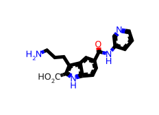 NCCCc1c(C(=O)O)[nH]c2ccc(C(=O)Nc3cccnc3)cc12